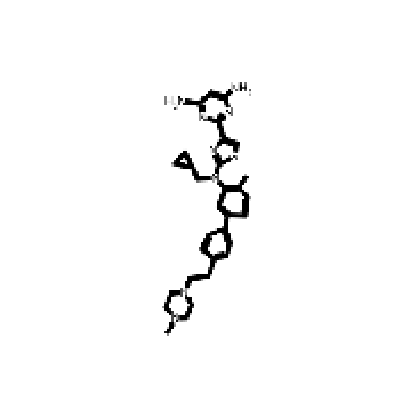 Cc1ccc(-c2ccc(CCN3CCN(C)CC3)cc2)cc1N(CC1CC1)c1nc(-c2nc(N)cc(N)n2)cs1